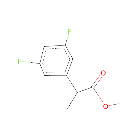 COC(=O)C(C)c1cc(F)cc(F)c1